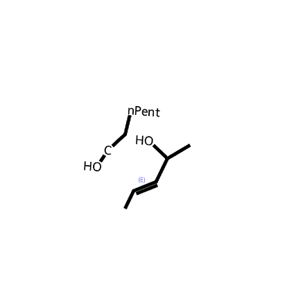 C/C=C/C(C)O.CCCCCCCO